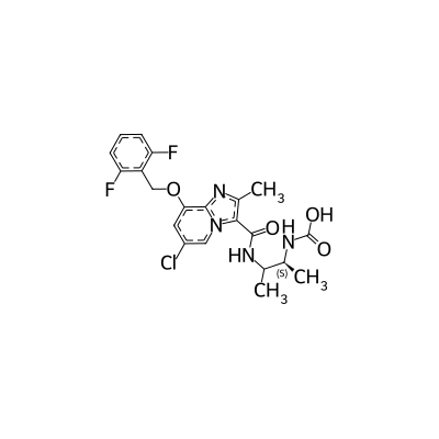 Cc1nc2c(OCc3c(F)cccc3F)cc(Cl)cn2c1C(=O)NC(C)[C@H](C)NC(=O)O